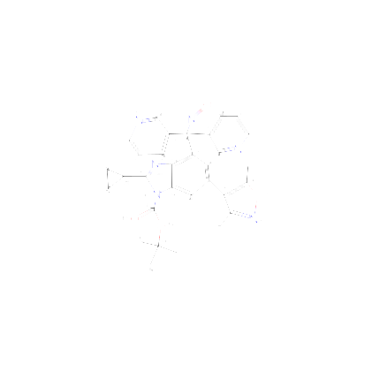 Cc1noc(C)c1-c1cc(C(N=O)(c2cccnc2)c2cccnc2)c2nc(C3CC3)n(C(=O)OC(C)(C)C)c2c1